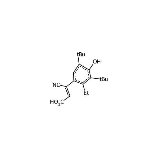 CCc1c(C(C#N)=CC(=O)O)cc(C(C)(C)C)c(O)c1C(C)(C)C